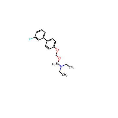 CCN(CC)[SiH2]OCOc1ccc(-c2cccc(F)c2)cc1